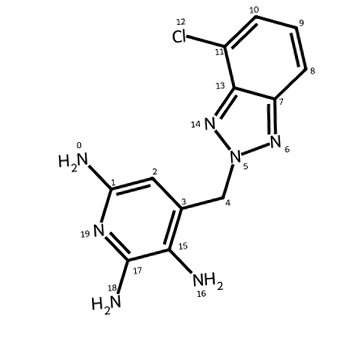 Nc1cc(Cn2nc3cccc(Cl)c3n2)c(N)c(N)n1